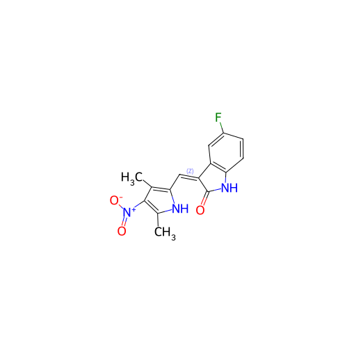 Cc1[nH]c(/C=C2\C(=O)Nc3ccc(F)cc32)c(C)c1[N+](=O)[O-]